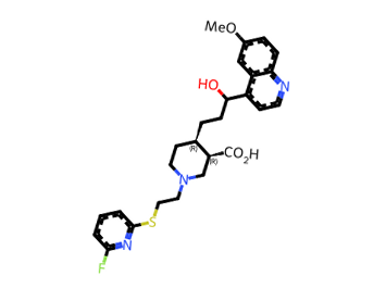 COc1ccc2nccc(C(O)CC[C@@H]3CCN(CCSc4cccc(F)n4)C[C@@H]3C(=O)O)c2c1